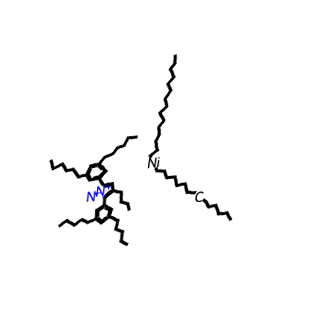 CCCCCCCCCCCCCC[CH2][Ni][CH2]CCCCCCCCCCCCCC.CCCCCCc1cc(CCCCCC)cc(C2=CC(CCCC)=C(c3cc(CCCCC)cc(CCCCC)c3)[N+]2=[N-])c1